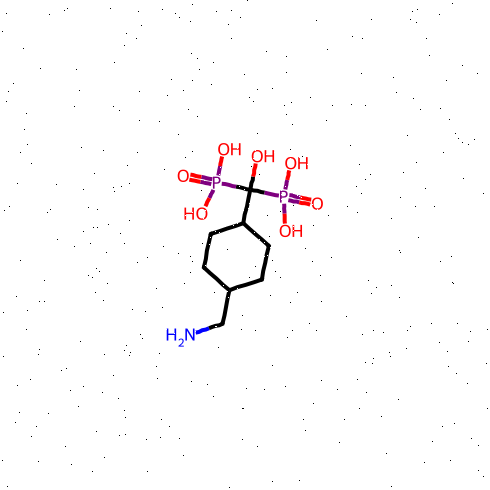 NCC1CCC(C(O)(P(=O)(O)O)P(=O)(O)O)CC1